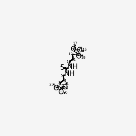 CO[Si](CCCNC(=S)NCCC[Si](OC)(OC)OC)(OC)OC